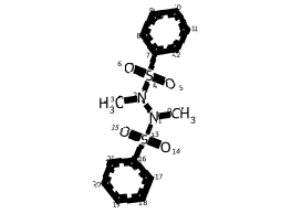 CN(N(C)S(=O)(=O)c1ccccc1)S(=O)(=O)c1ccccc1